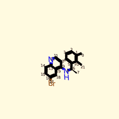 Cc1cccc([C@@H](C)Nc2ccnc3ccc(Br)cc23)c1C